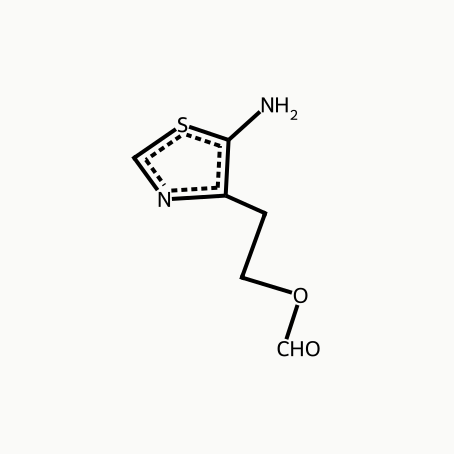 Nc1scnc1CCOC=O